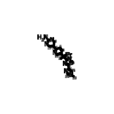 CC(C)C(C)(c1ccc(-c2cnc(N)nc2)nc1)c1noc(-c2cn(C)cn2)n1